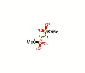 COS(=O)(=O)SSS(=O)(=O)OC